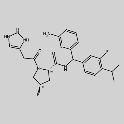 CC(C)c1ccc(C(NC(=O)[C@@H]2C[C@@H](F)CN2C(=O)CC2=CNNN2)c2cccc(N)n2)cc1F